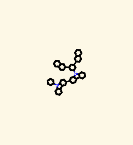 c1ccc(-n2c3ccccc3c3cc(-c4ccc5c6ccccc6n(-c6cc(-c7ccc8ccccc8c7)cc(-c7ccc8ccccc8c7)c6)c5c4)ccc32)cc1